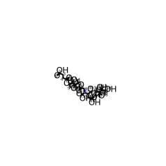 O=C(O)CCC(=O)O[C@@H]1CO[C@H]2[C@@H]1OC[C@H]2OC(=O)/C=C(\C(=O)O)C(CC(=O)O)C(=O)O[C@@H]1CO[C@H]2[C@@H]1OC[C@H]2O